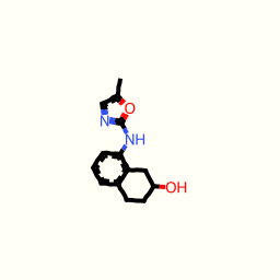 Cc1cnc(Nc2cccc3c2CC(O)CC3)o1